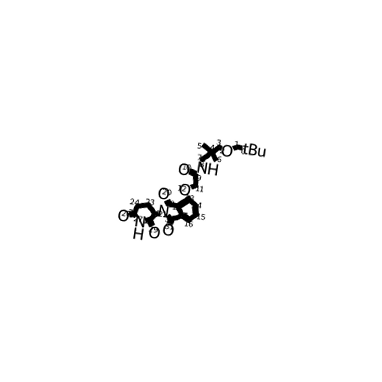 CC(C)(C)COCC(C)(C)CNC(=O)COc1cccc2c1C(=O)N(C1CCC(=O)NC1=O)C2=O